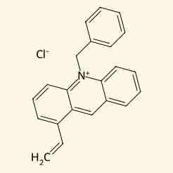 C=Cc1cccc2c1cc1ccccc1[n+]2Cc1ccccc1.[Cl-]